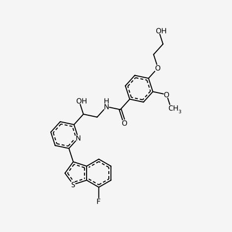 COc1cc(C(=O)NCC(O)c2cccc(-c3csc4c(F)cccc34)n2)ccc1OCCO